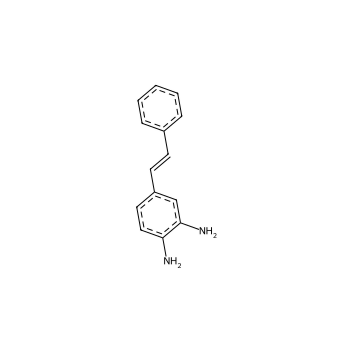 Nc1ccc(C=Cc2ccccc2)cc1N